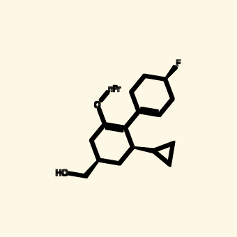 CCCOC1=C(C2=CC[C@H](F)CC2)[C@@H](C2CC2)C[C@@H](CO)C1